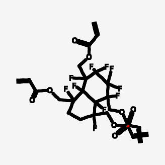 C=CC(=O)OCC1(F)CCC(F)(COC(=O)C=C)C2(F)C(F)(COC(=O)C=C)C(F)(F)C(F)(F)C(F)(COC(=O)C=C)C12F